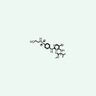 COC(=O)[C@H](Nc1nc(Nc2ccc(S(=O)(=O)NCCO)cc2)ncc1Br)C(C)C